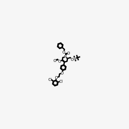 CC(C)(C)[Si](C)(C)OCC1CC(c2ccc(OCCOc3c(Cl)cccc3Cl)cc2)=C(OC=O)CN1C(=O)OCc1ccccc1